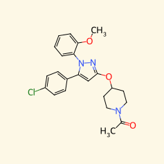 COc1ccccc1-n1nc(OC2CCN(C(C)=O)CC2)cc1-c1ccc(Cl)cc1